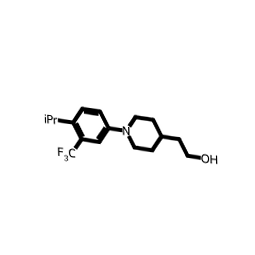 CC(C)c1ccc(N2CCC(CCO)CC2)cc1C(F)(F)F